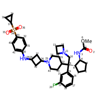 COC(=O)N[C@H]1CCC[C@@H]1C(CN1CCC1)(c1cccc(F)c1)C1CCN(C2CC(Nc3ccc(S(=O)(=O)C4CC4)cc3)C2)CC1